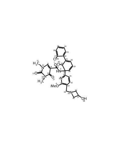 COc1nc(C2(NC(=O)c3cn(C)c(=O)n(C)c3=O)C=CC=C(c3ccccc3Cl)C2Cl)ccc1CN1CC(O)C1